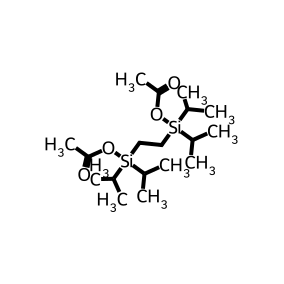 CC(=O)O[Si](CC[Si](OC(C)=O)(C(C)C)C(C)C)(C(C)C)C(C)C